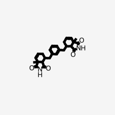 CC12C=CCC(Cc3cccc(CC4CC=CC5(C)C(=O)NC(=O)C45)c3)C1C(=O)NC2=O